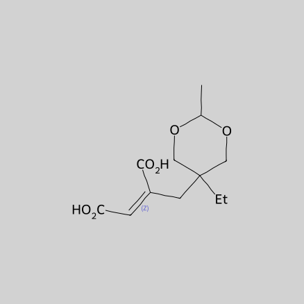 CCC1(C/C(=C/C(=O)O)C(=O)O)COC(C)OC1